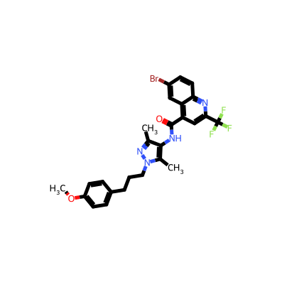 COc1ccc(CCCn2nc(C)c(NC(=O)c3cc(C(F)(F)F)nc4ccc(Br)cc34)c2C)cc1